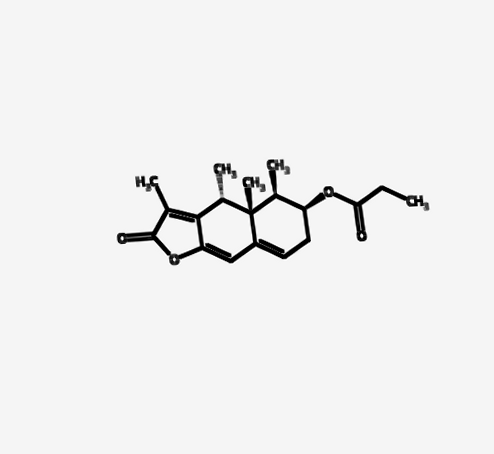 CCC(=O)O[C@H]1CC=C2C=C3OC(=O)C(C)=C3[C@H](C)[C@]2(C)[C@H]1C